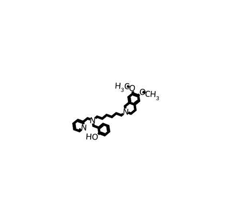 COc1cc2c(cc1OC)CN(CCCCCCN(Cc1ccccn1)Cc1ccccc1O)CC2